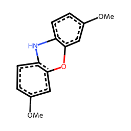 COc1ccc2c(c1)Oc1cc(OC)ccc1N2